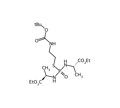 CCOC(=O)[C@H](C)NP(=O)(N[C@H](C)C(=O)OCC)SCCNC(=O)OC(C)(C)C